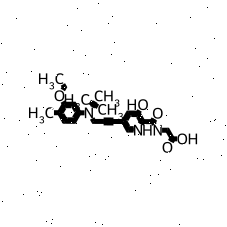 CCOc1cc(N(CC#Cc2cnc(C(=O)NCC(=O)O)c(O)c2)C(C)(C)C)ccc1C